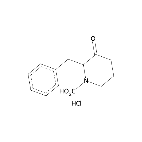 Cl.O=C1CCCN(C(=O)O)C1Cc1ccccc1